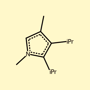 Cc1cn(C)c(C(C)C)c1C(C)C